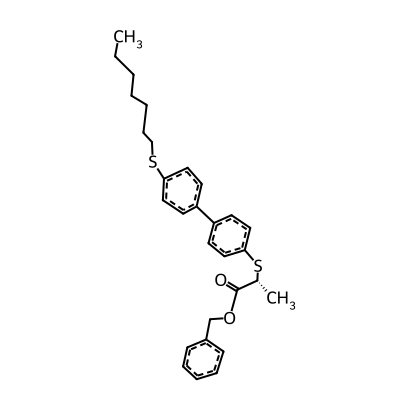 CCCCCCCSc1ccc(-c2ccc(S[C@H](C)C(=O)OCc3ccccc3)cc2)cc1